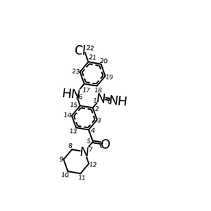 N=Nc1cc(C(=O)N2CCCCC2)ccc1Nc1cccc(Cl)c1